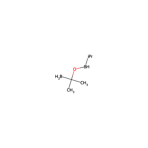 BC(C)(C)OBC(C)C